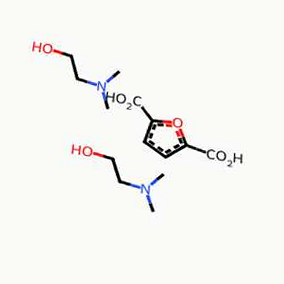 CN(C)CCO.CN(C)CCO.O=C(O)c1ccc(C(=O)O)o1